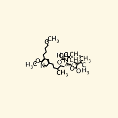 COCCCCc1cc(CCC(C)CC[C@@H]([C@@H]2C[C@@H](C(C)C)C(=O)O2)N(C(=O)O)C(C)(C)C)cnc1OC